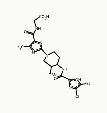 CCc1[nH]c(C(=O)NC2CCN(c3nc(C)c(C(=O)NCC(=O)O)s3)CC2OC)nc1Cl